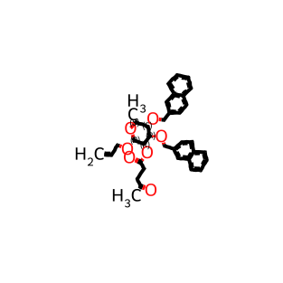 C=CCO[C@@H]1O[C@@H](C)[C@H](OCc2ccc3ccccc3c2)[C@@H](OCc2ccc3ccccc3c2)[C@H]1OC(=O)CCC(C)=O